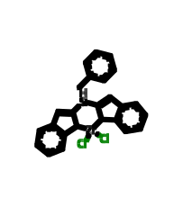 [Cl][Zr]1([Cl])[CH]2C(=Cc3ccccc32)[SiH](Cc2ccccc2)C2=Cc3ccccc3[CH]21